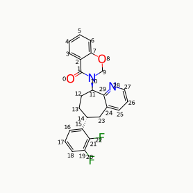 O=C1c2ccccc2OCN1[C@@H]1CC[C@@H](c2cccc(F)c2F)Cc2cccnc21